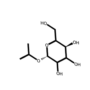 CC(C)O[C@@H]1OC(CO)[C@@H](O)C(O)C1O